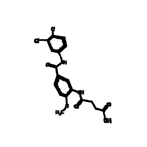 COc1ccc(C(=O)Nc2ccc(Cl)c(Cl)c2)cc1NC(=O)CCC(=O)O